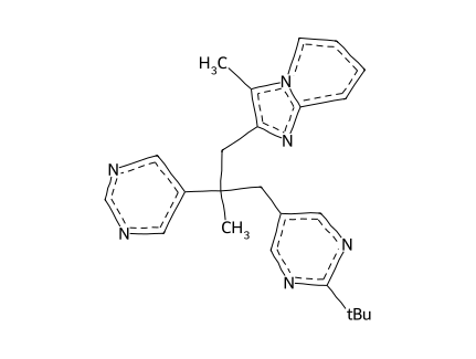 Cc1c(CC(C)(Cc2cnc(C(C)(C)C)nc2)c2cncnc2)nc2ccccn12